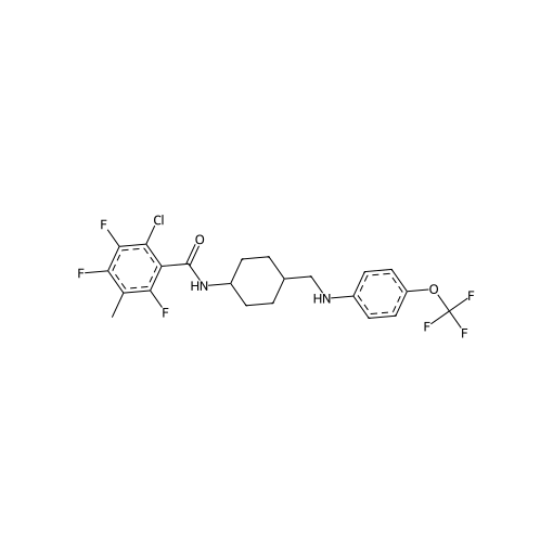 Cc1c(F)c(F)c(Cl)c(C(=O)NC2CCC(CNc3ccc(OC(F)(F)F)cc3)CC2)c1F